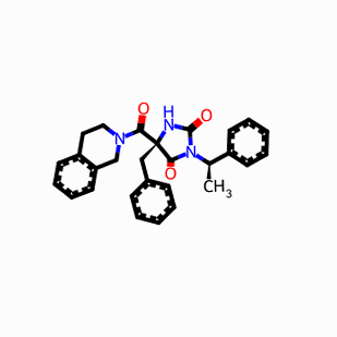 C[C@H](c1ccccc1)N1C(=O)N[C@@](Cc2ccccc2)(C(=O)N2CCc3ccccc3C2)C1=O